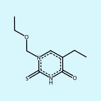 CCOCn1cc(CC)c(=O)[nH]c1=S